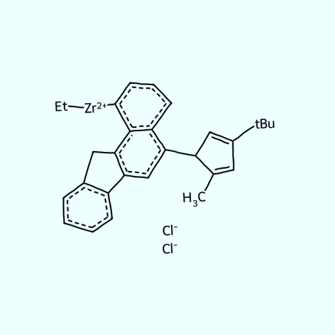 C[CH2][Zr+2][c]1cccc2c(C3C=C(C(C)(C)C)C=C3C)cc3c(c12)Cc1ccccc1-3.[Cl-].[Cl-]